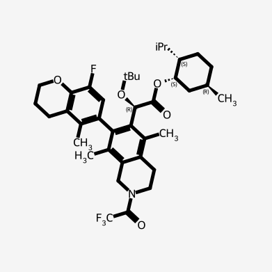 Cc1c(-c2c(C)c3c(c(C)c2[C@@H](OC(C)(C)C)C(=O)O[C@H]2C[C@H](C)CC[C@H]2C(C)C)CCN(C(=O)C(F)(F)F)C3)cc(F)c2c1CCCO2